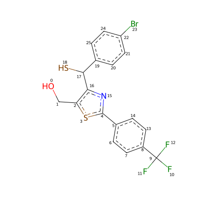 OCc1sc(-c2ccc(C(F)(F)F)cc2)nc1C(S)c1ccc(Br)cc1